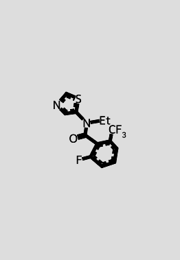 CCN(C(=O)c1c(F)cccc1C(F)(F)F)c1cncs1